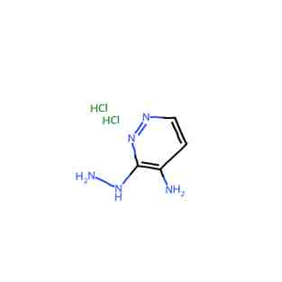 Cl.Cl.NNc1nnccc1N